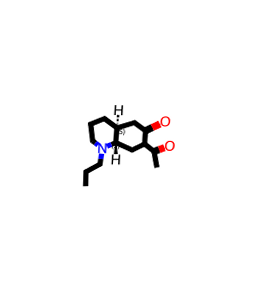 CCCN1CCC[C@H]2CC(=O)C(C(C)=O)C[C@@H]21